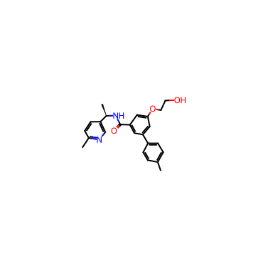 Cc1ccc(-c2cc(OCCO)cc(C(=O)N[C@H](C)c3ccc(C)nc3)c2)cc1